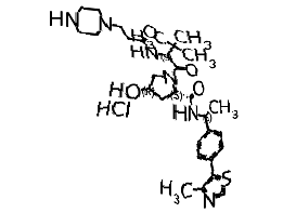 Cc1ncsc1-c1ccc([C@H](C)NC(=O)[C@@H]2C[C@@H](O)CN2C(=O)[C@@H](NC(=O)CCN2CCNCC2)C(C)(C)C)cc1.Cl